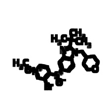 CO[n+]1ccc([S+]([O-])c2ccc3c(c2)nc(C(C)(C)C)n3CC2CCOCC2)c(Br)c1